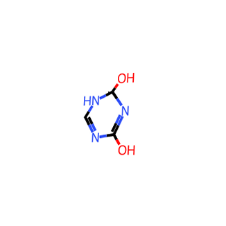 O[C]1N=C(O)N=CN1